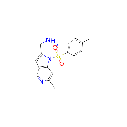 Cc1ccc(S(=O)(=O)n2c(CN)cc3cnc(C)cc32)cc1